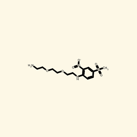 CS(=O)(=O)c1ccc(NCCOCCOCCN)c([N+](=O)[O-])c1